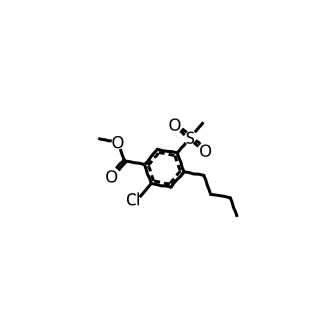 CCCCc1cc(Cl)c(C(=O)OC)cc1S(C)(=O)=O